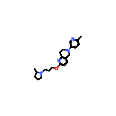 Cc1ccc(N2CCc3nc(OCCCN4CCCC4C)ccc3C2)cn1